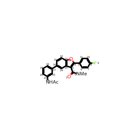 CNC(=O)c1c(-c2ccc(F)cc2)oc2ccc(-c3cccc(NC(C)=O)c3)cc12